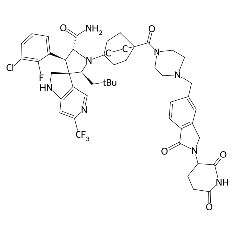 CC(C)(C)C[C@@H]1N(C23CCC(C(=O)N4CCN(Cc5ccc6c(c5)CN(C5CCC(=O)NC5=O)C6=O)CC4)(CC2)CC3)[C@@H](C(N)=O)[C@H](c2cccc(Cl)c2F)[C@]12CNc1cc(C(F)(F)F)ncc12